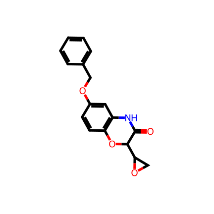 O=C1Nc2cc(OCc3ccccc3)ccc2OC1C1CO1